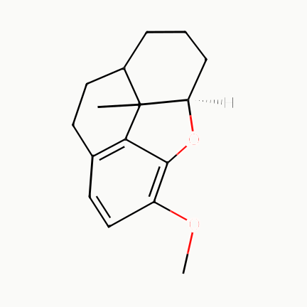 COc1ccc2c3c1O[C@@H]1CCCC(CC2)C31C